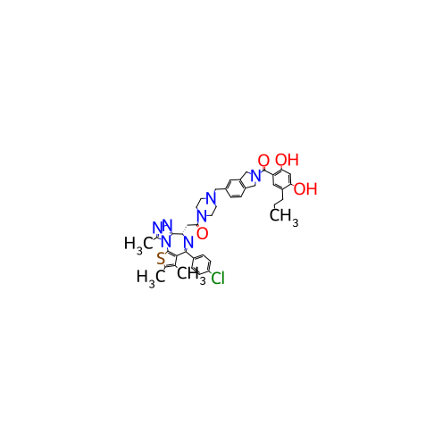 CCCc1cc(C(=O)N2Cc3ccc(CN4CCN(C(=O)C[C@@H]5N=C(c6ccc(Cl)cc6)c6c(sc(C)c6C)-n6c(C)nnc65)CC4)cc3C2)c(O)cc1O